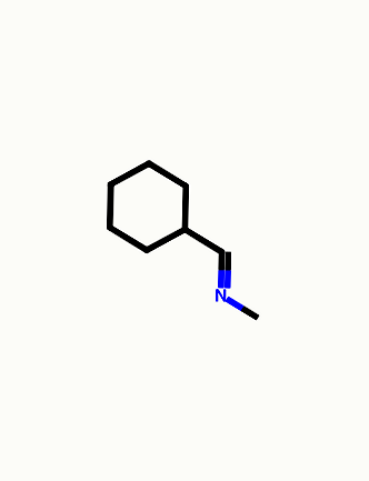 CN=CC1CCCCC1